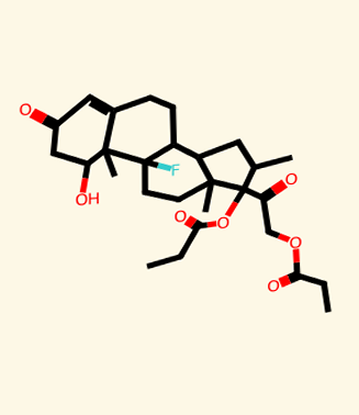 CCC(=O)OCC(=O)C1(OC(=O)CC)C(C)CC2C3CCC4=CC(=O)CC(O)C4(C)C3(F)CCC21C